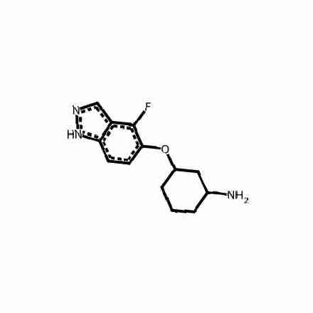 NC1CCCC(Oc2ccc3[nH]ncc3c2F)C1